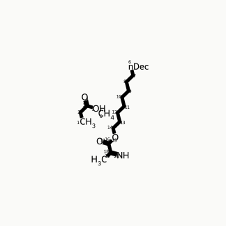 C.CCC(=O)O.CCCCCCCCCCCCCCCCCCOC(=O)C(C)=N